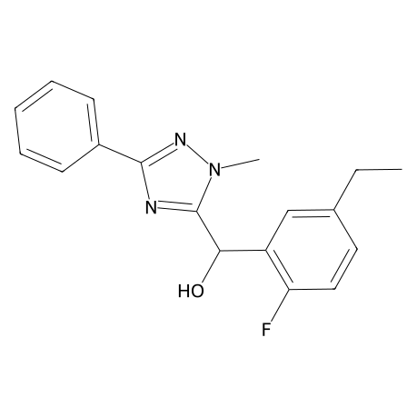 CCc1ccc(F)c(C(O)c2nc(-c3ccccc3)nn2C)c1